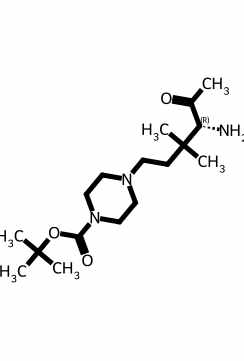 CC(=O)[C@H](N)C(C)(C)CCN1CCN(C(=O)OC(C)(C)C)CC1